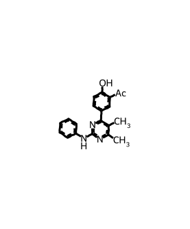 CC(=O)c1cc(-c2nc(Nc3ccccc3)nc(C)c2C)ccc1O